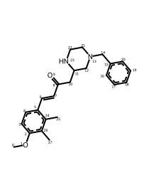 COc1ccc(C=CC(=O)CC2CN(Cc3ccccc3)CCN2)c(C)c1C